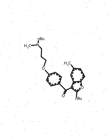 CCCCc1oc2ccc(C)cc2c1C(=O)c1ccc(OCCCN(C)CCCC)cc1